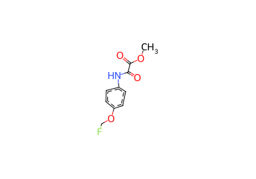 COC(=O)C(=O)Nc1ccc(OCF)cc1